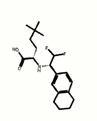 CC(C)(C)CC[C@H](N[C@@H](c1ccc2c(c1)CCCC2)C(F)F)C(=O)O